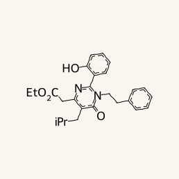 CCOC(=O)Cc1nc(-c2ccccc2O)n(CCc2ccccc2)c(=O)c1CC(C)C